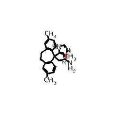 Cc1ccc2c(c1)CCc1cc(C)ccc1C2(C[C@H](C)N)c1nnc[nH]1